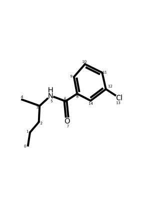 CCCC(C)NC(=O)c1cccc(Cl)c1